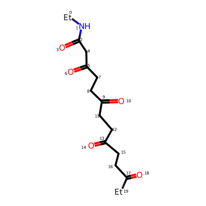 CCNC(=O)CC(=O)CCC(=O)CCC(=O)CCC(=O)CC